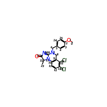 COc1ccc(CN2Cc3c(ccc(Cl)c3Cl)N3C2=NC(=O)C3C)cc1